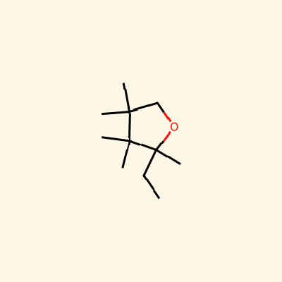 CCC1(C)OCC(C)(C)C1(C)C